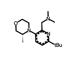 C[C@@H]1COCCN1c1ccc(C(C)(C)C)nc1CN(C)C